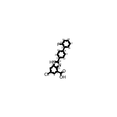 O=C(O)c1cc(Cl)cc2[nH]c(-c3ccc(-c4ccccc4F)cc3)nc12